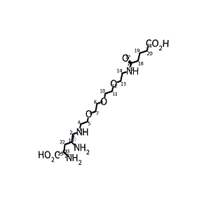 N/C(=C\NCCOCCOCCOCCNC(=O)CCCC(=O)O)C[C@H](N)C(=O)O